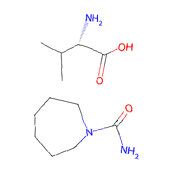 CC(C)[C@H](N)C(=O)O.NC(=O)N1CCCCCC1